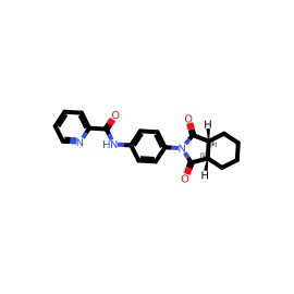 O=C(Nc1ccc(N2C(=O)[C@H]3CCCC[C@H]3C2=O)cc1)c1ccccn1